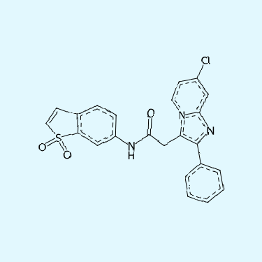 O=C(Cc1c(-c2ccccc2)nc2cc(Cl)ccn12)Nc1ccc2c(c1)S(=O)(=O)C=C2